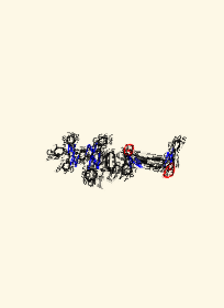 c1ccc(-c2c3c4ccccc4n4c5cc6c7c8c(c(-c9ccc(-c%10cccc%11c%10c%10coc%12c%13cc%14c(cc%13n%11c%10%12)c%10occ%11c%12ccccc%12n%14c%11%10)cc9)n7-c7ccccc7)c7ccccc7n8c6cc5c(c34)n2-c2ccccc2)cc1